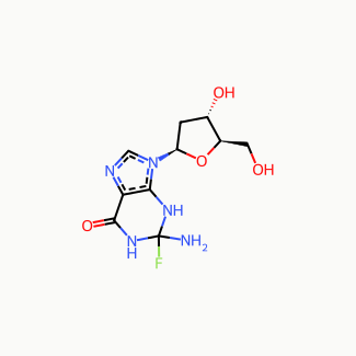 NC1(F)NC(=O)c2ncn([C@H]3C[C@H](O)[C@@H](CO)O3)c2N1